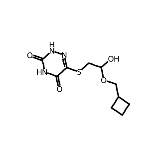 O=c1[nH]nc(SCC(O)OCC2CCC2)c(=O)[nH]1